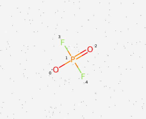 [O]P(=O)(F)F